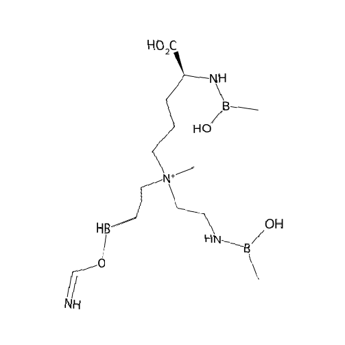 CB(O)NCC[N+](C)(CCBOC=N)CCC[C@H](NB(C)O)C(=O)O